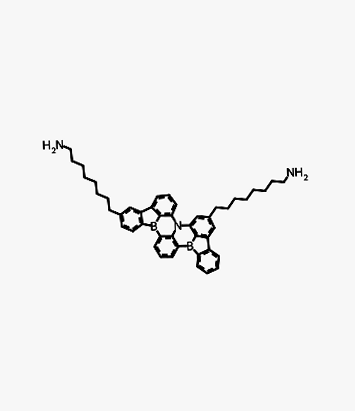 NCCCCCCCCc1ccc2c(c1)-c1cccc3c1B2c1cccc2c1N3c1cc(CCCCCCCCN)cc3c1B2c1ccccc1-3